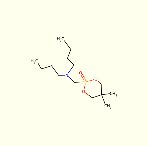 CCCCN(CCCC)CP1(=O)OCC(C)(C)CO1